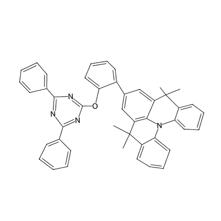 CC1(C)c2ccccc2N2c3ccccc3C(C)(C)c3cc(-c4ccccc4Oc4nc(-c5ccccc5)nc(-c5ccccc5)n4)cc1c32